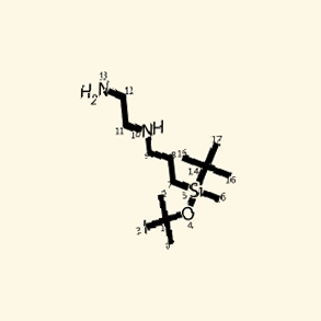 CC(C)(I)O[Si](C)(CCCNCCN)C(C)(C)C